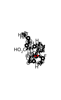 CCCNC(=O)Nc1cccc(S(=O)(=O)Nc2cccc(C(CC(=O)O)NC(=O)Nc3ccc(NC(=O)N(C)CCN(C)CCN(C)CC(=O)NC(CC(N)=O)C(=O)N4CCCC4C(=O)NC(C(=O)N=S(C)(=O)Cc4cc5cc(c4)OC(C)CCOc4cc(F)ccc4-c4nc(ncc4F)N5)C(C)C)cc3)c2)c1